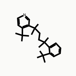 CC(C)(C)c1ccccc1C(C)(C)CCC(C)(C)c1cnccc1C(C)(C)C